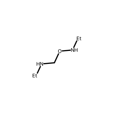 CCNCONCC